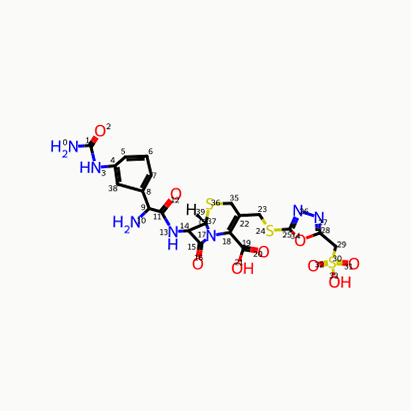 NC(=O)Nc1cccc(C(N)C(=O)NC2C(=O)N3C(C(=O)O)=C(CSc4nnc(CS(=O)(=O)O)o4)CS[C@@H]23)c1